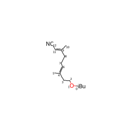 CCC(C)OCCC(C)=CCCC(C)=CC#N